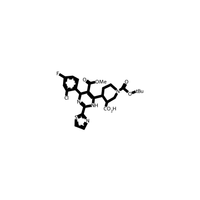 COC(=O)C1=C(C2CCN(C(=O)OC(C)(C)C)CC2C(=O)O)NC(c2nccs2)=NC1c1ccc(F)cc1Cl